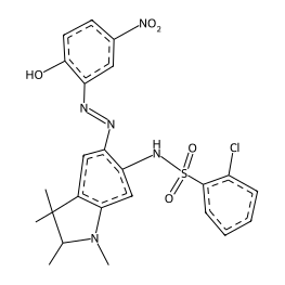 CC1N(C)c2cc(NS(=O)(=O)c3ccccc3Cl)c(N=Nc3cc([N+](=O)[O-])ccc3O)cc2C1(C)C